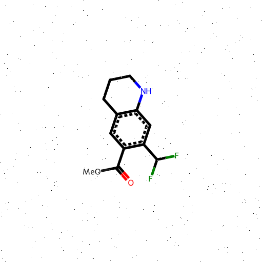 COC(=O)c1cc2c(cc1C(F)F)NCCC2